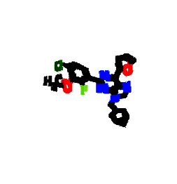 COc1c(Cl)ccc(-c2nc(-c3ccco3)c3ncn(Cc4ccccc4)c3n2)c1F